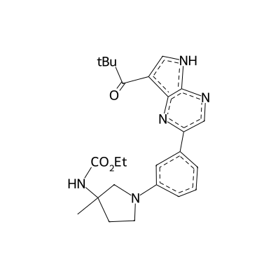 CCOC(=O)NC1(C)CCN(c2cccc(-c3cnc4[nH]cc(C(=O)C(C)(C)C)c4n3)c2)C1